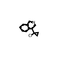 ClC1(c2cncc3ccccc23)CC1